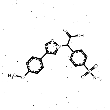 COc1ccc(-c2cnn(C(C(=O)O)c3ccc(S(N)(=O)=O)cc3)c2)cc1